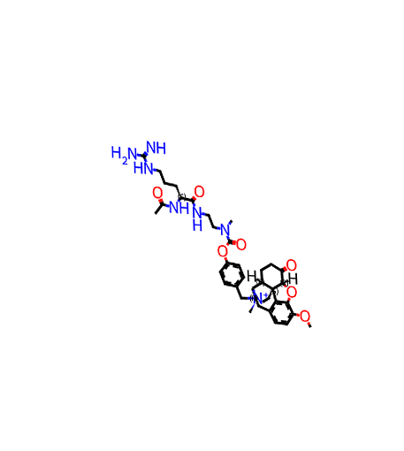 COc1ccc2c3c1O[C@H]1C(=O)CC[C@H]4C(C2)[N@@+](C)(Cc2ccc(OC(=O)N(C)CCNC(=O)[C@H](CCCNC(=N)N)NC(C)=O)cc2)CC[C@]314